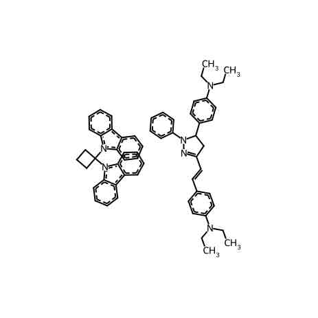 CCN(CC)c1ccc(C=CC2=NN(c3ccccc3)C(c3ccc(N(CC)CC)cc3)C2)cc1.c1ccc2c(c1)c1ccccc1n2C1(n2c3ccccc3c3ccccc32)CCC1